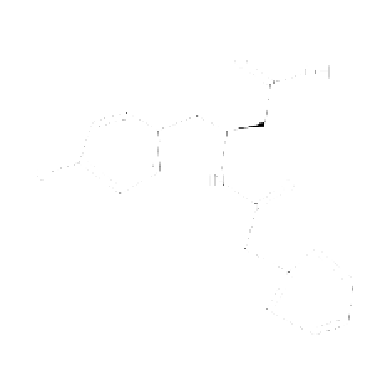 O=C(O)C[C@H](Cc1ccc(Cl)cc1)NC(=O)Cc1ccccc1